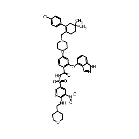 CC1(C)CCC(CN2CCN(c3ccc(C(=O)NS(=O)(=O)c4cnc(NCC5CCOCC5)c([N+](=O)[O-])c4)c(Oc4cccc5[nH]ncc45)c3)CC2)=C(c2ccc(Cl)cc2)C1